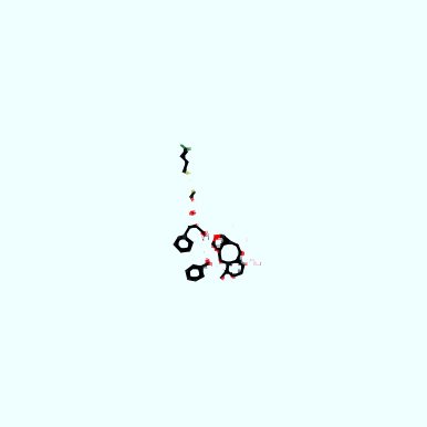 CC(=O)O[C@@]12CO[C@@H]1C[C@H](O)[C@@]1(C)C(=O)[C@H](O)C3=C(C)[C@@H](OC(=O)[C@H](OC(=O)OCCSSCCC=C(Cl)Cl)[C@@H](C)c4ccccc4)C[C@](O)([C@@H](OC(=O)c4ccccc4)[C@H]21)C3(C)C